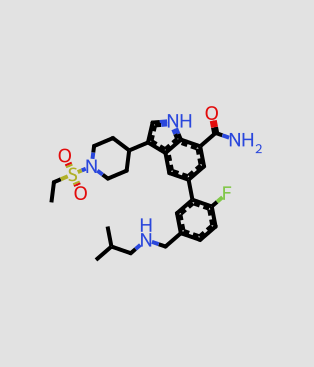 CCS(=O)(=O)N1CCC(c2c[nH]c3c(C(N)=O)cc(-c4cc(CNCC(C)C)ccc4F)cc23)CC1